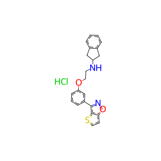 Cl.c1cc(OCCNC2Cc3ccccc3C2)cc(-c2noc3ccsc23)c1